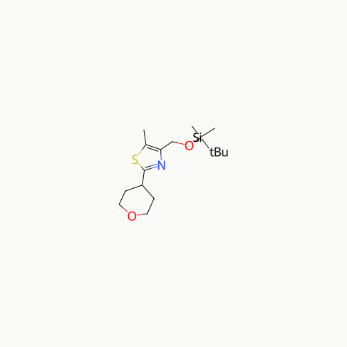 Cc1sc(C2CCOCC2)nc1CO[Si](C)(C)C(C)(C)C